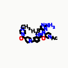 Bc1cnc(N)nc1N(NC(=O)c1ccc(CN2CCC(C(=O)N3CCN(C)CC3)CC2)cc1)C1CCN(C(C)=O)CC1